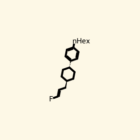 CCCCCCc1ccc([C@H]2CC[C@H](CC=CF)CC2)cc1